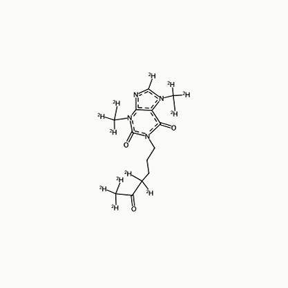 [2H]c1nc2c(c(=O)n(CCCC([2H])([2H])C(=O)C([2H])([2H])[2H])c(=O)n2C([2H])([2H])[2H])n1C([2H])([2H])[2H]